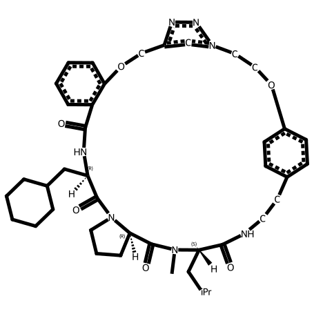 CC(C)C[C@H]1C(=O)NCCc2ccc(cc2)OCCn2cc(nn2)COc2ccccc2C(=O)N[C@H](CC2CCCCC2)C(=O)N2CCC[C@@H]2C(=O)N1C